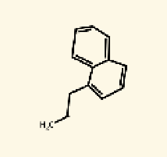 C[CH]Cc1cccc2ccccc12